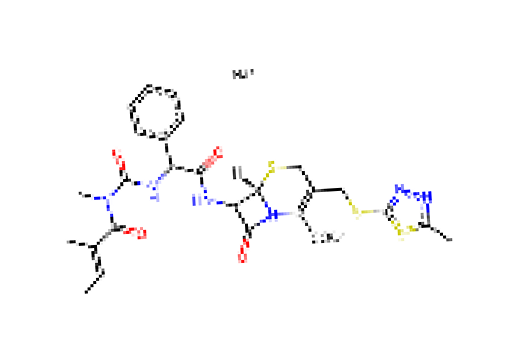 C/C=C(\C)C(=O)N(C)C(=O)NC(C(=O)NC1C(=O)N2C(C(=O)[O-])=C(CSc3nnc(C)s3)CS[C@@H]12)c1ccccc1.[Na+]